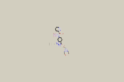 Cn1nc(OCCN2CCOCC2)c2ccc(NC(=O)c3ncccc3O)cc21